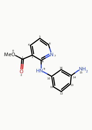 COC(=O)c1cccnc1Nc1cccc(N)c1